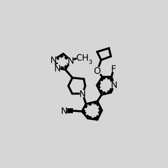 Cn1cnnc1C1CCN(c2c(C#N)cccc2-c2cnc(F)c(OC3CCC3)c2)CC1